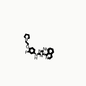 Nc1nc(Nc2ccc(OCCN3CCCC3)c(F)c2)nn1-c1nccc2ccccc12